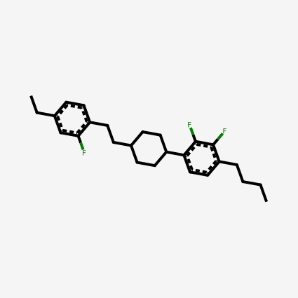 CCCCc1ccc(C2CCC(CCc3ccc(CC)cc3F)CC2)c(F)c1F